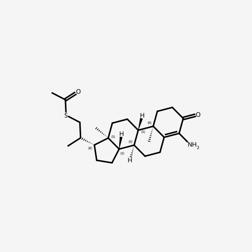 CC(=O)SCC(C)[C@H]1CC[C@H]2[C@@H]3CCC4=C(N)C(=O)CC[C@]4(C)[C@H]3CC[C@]12C